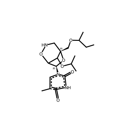 CCC(C)OC[C@]12CNOC(C1OC(C)C)[C@H](n1cc(C)c(=O)[nH]c1=O)O2